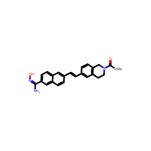 COC(=O)N1CCc2cc(/C=C/c3ccc4cc(/C(N)=N\O)ccc4c3)ccc2C1